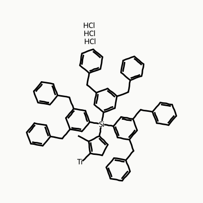 CC1=[C]([Ti])CC=C1[Si](c1cc(Cc2ccccc2)cc(Cc2ccccc2)c1)(c1cc(Cc2ccccc2)cc(Cc2ccccc2)c1)c1cc(Cc2ccccc2)cc(Cc2ccccc2)c1.Cl.Cl.Cl